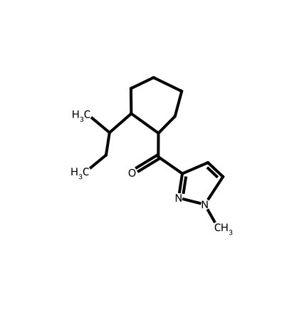 CCC(C)C1CCCCC1C(=O)c1ccn(C)n1